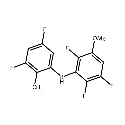 COc1cc(F)c(F)c(Bc2cc(F)cc(F)c2C)c1F